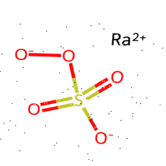 O=S(=O)([O-])O[O-].[Ra+2]